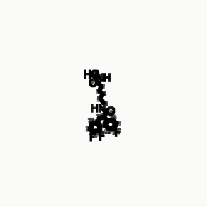 O=C(CCCCCNC(=O)/C(=C/c1ccc(F)c(F)c1)c1ccc(F)cc1)NO